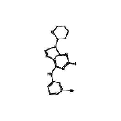 Brc1cccc(Nc2nc(I)nc3c2ncn3C2CCCCO2)c1